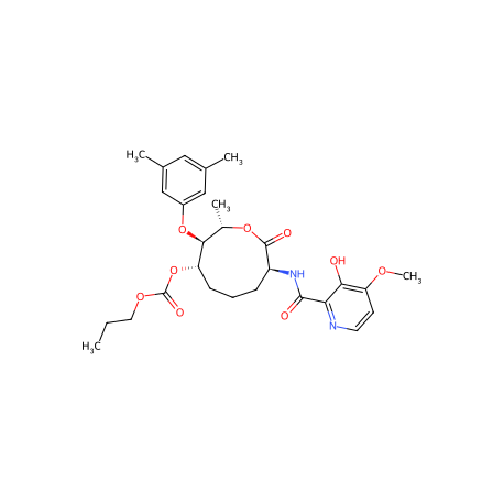 CCCOC(=O)O[C@H]1CCC[C@H](NC(=O)c2nccc(OC)c2O)C(=O)O[C@@H](C)[C@@H]1Oc1cc(C)cc(C)c1